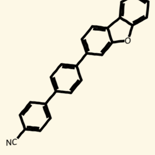 N#Cc1ccc(-c2ccc(-c3ccc4c(c3)oc3ccccc34)cc2)cc1